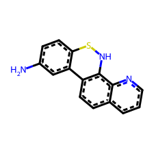 Nc1ccc2c(c1)-c1ccc3cccnc3c1NS2